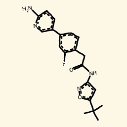 CC(C)(C)c1cc(NC(=O)Cc2ccc(-c3ccc(N)nc3)cc2F)no1